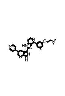 CN(C)CCOc1cc(F)cc(-c2nccc3[nH]c(-c4n[nH]c5ncc(-c6ccncc6)cc45)nc23)c1